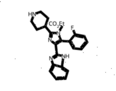 CCOC(=O)n1c(C2CCNCC2)nc(-c2nc3ccccc3[nH]2)c1-c1ccccc1F